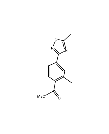 COC(=O)c1ccc(-c2noc(C)n2)cc1C